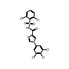 O=C(NS(=O)(=O)c1c(Cl)cccc1Cl)c1cn(-c2cc(Cl)c(Cl)c(Cl)c2)cn1